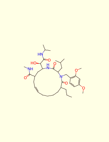 CCCC1CCCCC=CCC(C(=O)NC)CC([C@@H](O)C(=O)NC(C)C)NC(=O)C(CC(C)C)N(Cc2ccc(OC)cc2OC)C1=O